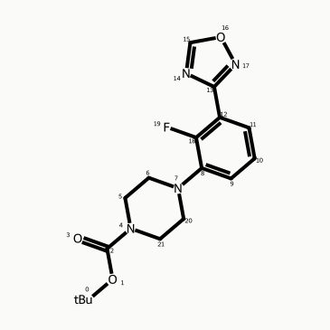 CC(C)(C)OC(=O)N1CCN(c2cccc(-c3ncon3)c2F)CC1